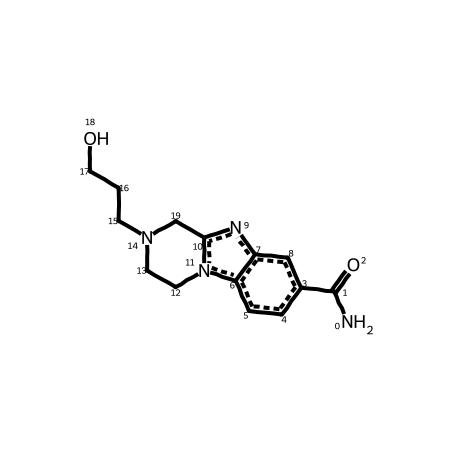 NC(=O)c1ccc2c(c1)nc1n2CCN(CCCO)C1